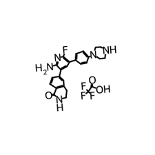 Nc1nc(F)c(-c2ccc(N3CCNCC3)cc2)cc1-c1ccc2c(c1)CCNC2=O.O=C(O)C(F)(F)F